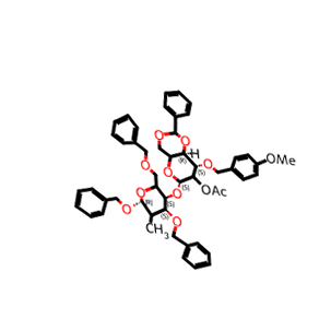 COc1ccc(CO[C@@H]2C(OC(C)=O)[C@H](O[C@@H]3C(COCc4ccccc4)O[C@@H](OCc4ccccc4)C(C)[C@@H]3OCc3ccccc3)OC3COC(c4ccccc4)O[C@H]32)cc1